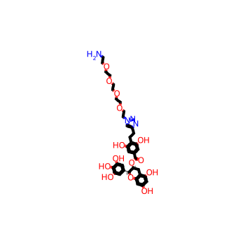 NCCOCCOCCOCCOCCn1cc(CCc2c(O)cc(C(=O)O[C@@H]3Cc4c(O)cc(O)cc4O[C@@H]3c3cc(O)c(O)c(O)c3)cc2O)nn1